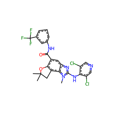 Cn1c(Nc2c(Cl)cncc2Cl)nc2cc(C(=O)Nc3cccc(C(F)(F)F)c3)c3c(c21)CC(C)(C)O3